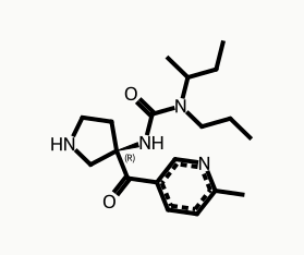 CCCN(C(=O)N[C@]1(C(=O)c2ccc(C)nc2)CCNC1)C(C)CC